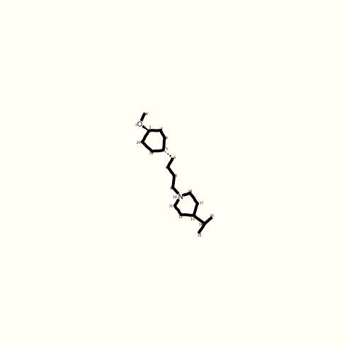 CO[C@H]1CC[C@H](CCCCN2CCC(C(C)C)CC2)CC1